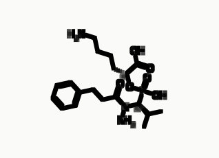 CC(C)[C@@H](N(N)C(=O)CCc1ccccc1)P(=O)(O)O[C@H](CCCCN)C(=O)O